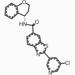 O=C(N[C@H]1CCOc2ccccc21)c1ccc2nc(-c3cncc(Cl)c3)sc2c1